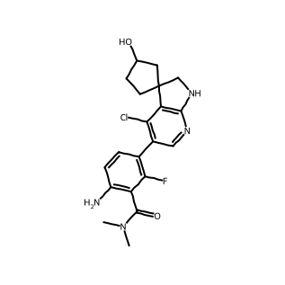 CN(C)C(=O)c1c(N)ccc(-c2cnc3c(c2Cl)C2(CCC(O)C2)CN3)c1F